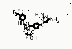 Nc1cc(Oc2ccc(-c3nnc(Nc4ccc(Cl)c(C(F)(F)F)c4)o3)cc2)nc(N)n1.O=C(O)C(F)(F)F